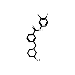 O=C(Nc1ccc(F)c(Br)c1)c1cccc(CN2CCCC(O)C2)c1